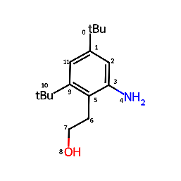 CC(C)(C)c1cc(N)c(CCO)c(C(C)(C)C)c1